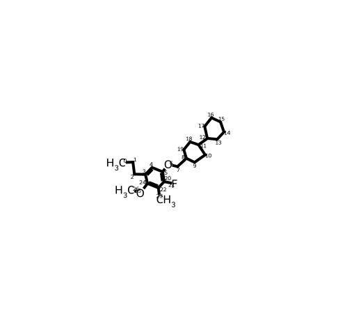 CCCc1cc(OCC2CCC(C3CCCCC3)CC2)c(F)c(C)c1OC